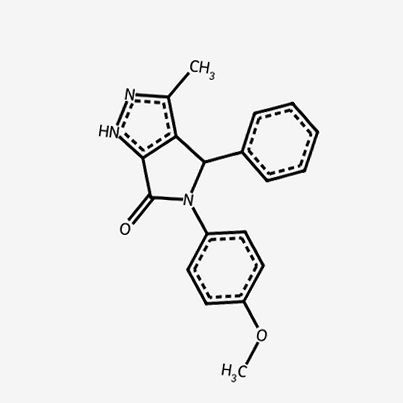 COc1ccc(N2C(=O)c3[nH]nc(C)c3C2c2ccccc2)cc1